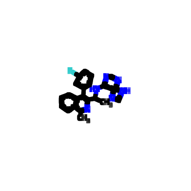 Cc1nc(C(C)Nc2ncnc3[nH]cnc23)c(-c2cccc(F)c2)c2ccccc12